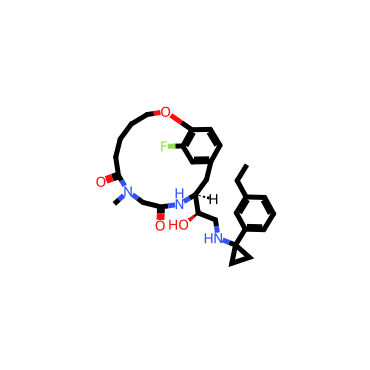 CCc1cccc(C2(NC[C@@H](O)[C@@H]3Cc4ccc(c(F)c4)OCCCCC(=O)N(C)CC(=O)N3)CC2)c1